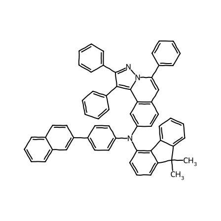 CC1(C)c2ccccc2-c2c(N(c3ccc(-c4ccc5ccccc5c4)cc3)c3ccc4cc(-c5ccccc5)n5nc(-c6ccccc6)c(-c6ccccc6)c5c4c3)cccc21